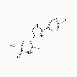 Cc1[nH]c(=O)c(C#N)cc1-c1cnc(-c2ccc(F)cc2)[nH]1